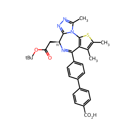 Cc1sc2c(c1C)C(c1ccc(-c3ccc(C(=O)O)cc3)cc1)=N[C@@H](CC(=O)OC(C)(C)C)c1nnc(C)n1-2